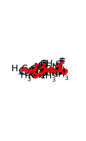 C=CC(/C=C/C(=O)N1CCN(c2nc(OC[C@@H]3CCCN3C)nc3c2CCN(c2cc(C4C[C@@H](COc5nc6c(c(N7CCN(C(=O)C(=C)C(F)(F)F)[C@@H](CC#N)C7)n5)CCN(c5ccc(C7C[C@@H](COc8nc9c(c(N%10CCN(C(=O)/C=C/C(F)(F)F)[C@@H](CC#N)C%10)n8)CCN(c8cccc%10cccc(Cl)c8%10)C9)N(C)C7)c7cccc(C)c57)C6)N(C)C4)cc4cccc(C)c24)C3)C[C@@H]1CC#N)=N\C=C/C